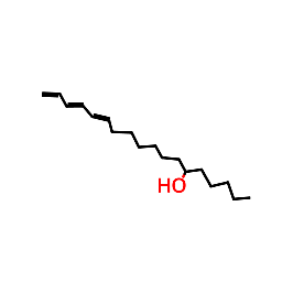 C=CC=CC=CCCCCCCC(O)CCCCC